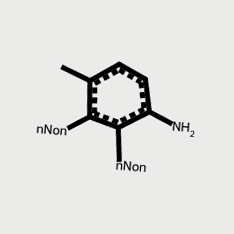 CCCCCCCCCc1c(C)ccc(N)c1CCCCCCCCC